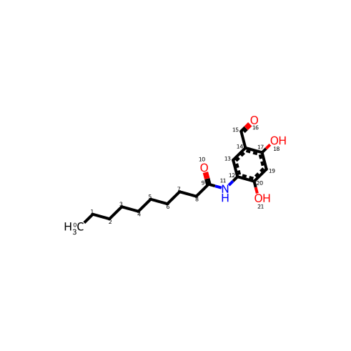 CCCCCCCCCC(=O)Nc1cc(C=O)c(O)cc1O